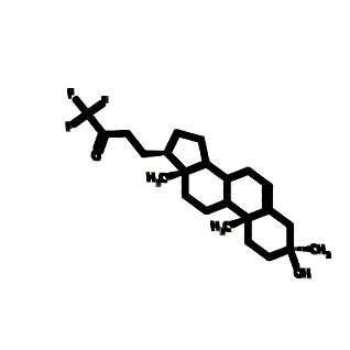 C[C@]1(O)CC[C@@]2(C)C(=CCC3C2CC[C@@]2(C)C3CC[C@@H]2CCC(=O)C(F)(F)F)C1